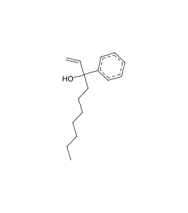 C=CC(O)(CCCCCCC)c1ccccc1